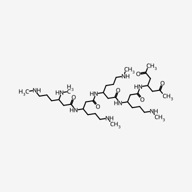 CNCCCC(CC(=O)NC(CCCNC)CC(=O)NC(CCCNC)CC(=O)NC(CCCNC)CC(=O)NC(CC(C)=O)CC(C)=O)NC